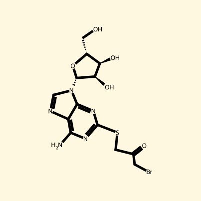 Nc1nc(SCC(=O)CBr)nc2c1ncn2[C@@H]1O[C@H](CO)[C@@H](O)[C@H]1O